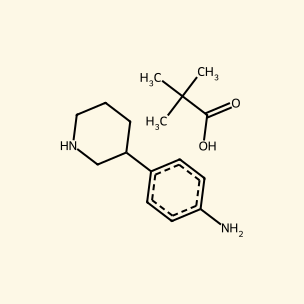 CC(C)(C)C(=O)O.Nc1ccc(C2CCCNC2)cc1